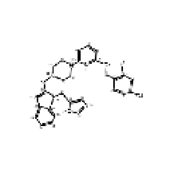 Fc1cc(Cl)ccc1COc1cccc(N2CCN(Cc3nc4ccccc4n3Cc3cnco3)CC2)n1